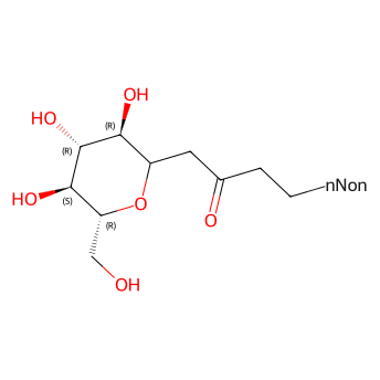 CCCCCCCCCCCC(=O)CC1O[C@H](CO)[C@@H](O)[C@H](O)[C@H]1O